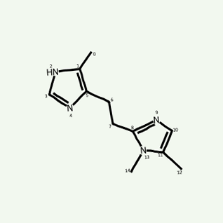 Cc1[nH]cnc1CCc1ncc(C)n1C